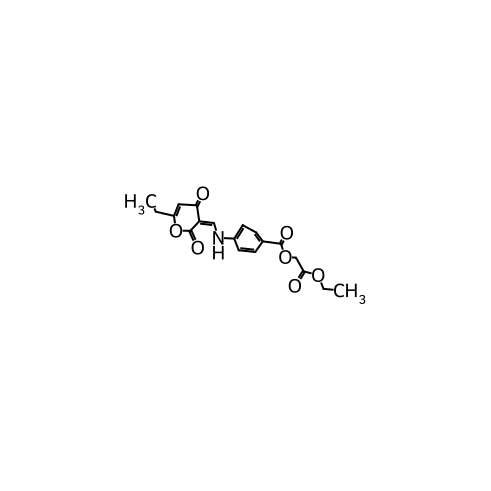 CCOC(=O)COC(=O)c1ccc(NC=C2C(=O)C=C(CC)OC2=O)cc1